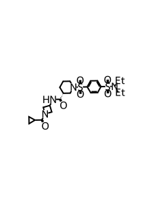 CCN(CC)S(=O)(=O)c1ccc(S(=O)(=O)N2CCC[C@@H](C(=O)NC3CN(C(=O)C4CC4)C3)C2)cc1